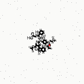 C=CC(=O)Nc1cc(Nc2ncc(C(=O)OC(C)C)c(-c3cn(C)c4ccccc34)n2)c(OC)cc1N(C)CCN(C)C.O=C(O)CNC(=O)c1ccccc1